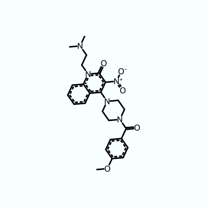 COc1ccc(C(=O)N2CCN(c3c([N+](=O)[O-])c(=O)n(CCN(C)C)c4ccccc34)CC2)cc1